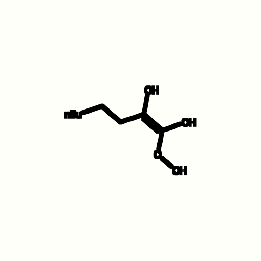 CCCCCCC(O)=C(O)OO